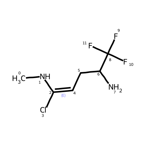 CN/C(Cl)=C\CC(N)C(F)(F)F